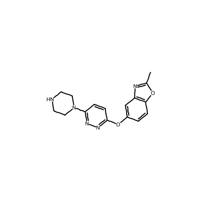 Cc1nc2cc(Oc3ccc(N4CCNCC4)nn3)ccc2o1